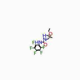 CCO[Si](C)(C)CNC(=O)Nc1c(F)c(F)c(F)c(F)c1F